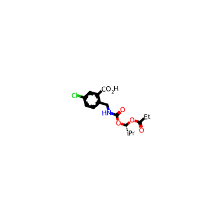 CCC(=O)O[C@@H](OC(=O)NCc1ccc(Cl)cc1C(=O)O)C(C)C